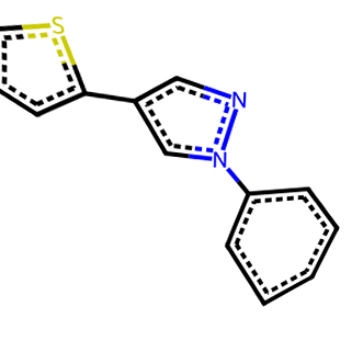 c1ccc(-n2cc(-c3cccs3)cn2)cc1